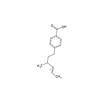 C/C=C/C(C)CCc1ccc(C(=O)O)cc1